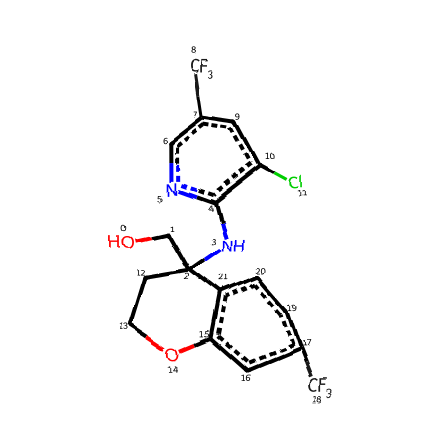 OCC1(Nc2ncc(C(F)(F)F)cc2Cl)CCOc2cc(C(F)(F)F)ccc21